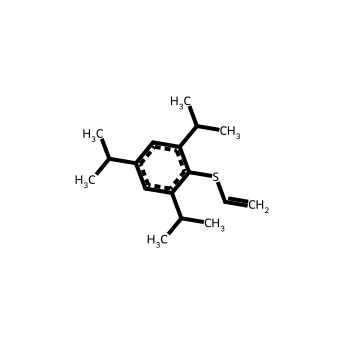 C=CSc1c(C(C)C)cc(C(C)C)cc1C(C)C